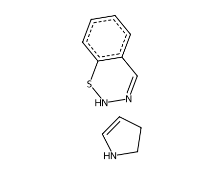 C1=CNCC1.C1=NNSc2ccccc21